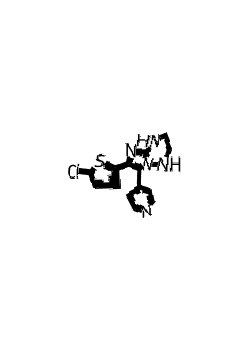 Clc1ccc(-c2nc3n(c2-c2ccncc2)NCCN3)s1